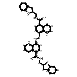 O=C(NCC1Cc2ccccc2O1)c1ccc(SSc2ccc(C(=O)NCC3Cc4ccccc4O3)c3cccnc23)c2ncccc12